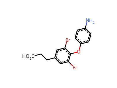 Nc1ccc(Oc2c(Br)cc(CCC(=O)O)cc2Br)cc1